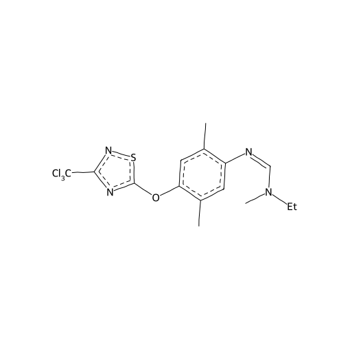 CCN(C)/C=N\c1cc(C)c(Oc2nc(C(Cl)(Cl)Cl)ns2)cc1C